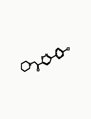 O=C(CN1CCCCC1)C1=C=CC(c2ccc(Cl)cc2)=NS1